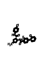 C=C1C[C@H](NC(=O)c2ccc(-n3ccccc3=O)cc2F)[C@@H](C(=O)Nc2ccc(Cl)cc2)C1